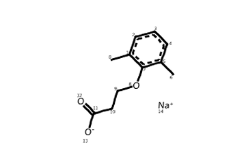 Cc1cccc(C)c1OCCC(=O)[O-].[Na+]